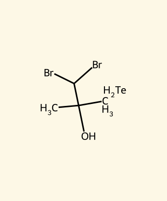 CC(C)(O)C(Br)Br.[TeH2]